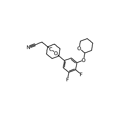 N#CCC12CCC(c3cc(F)c(F)c(OC4CCCCO4)c3)(CC1)OC2